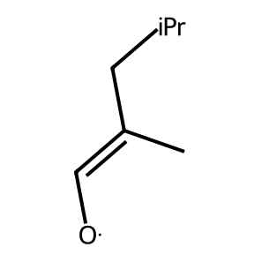 C/C(=C\[O])CC(C)C